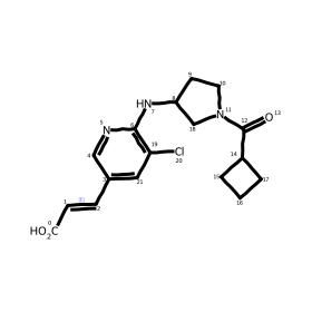 O=C(O)/C=C/c1cnc(NC2CCN(C(=O)C3CCC3)C2)c(Cl)c1